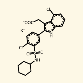 O=C([O-])Cc1c(-c2ccc(Cl)c(S(=O)(=O)NC3CCCCC3)c2)[nH]c2cccc(Cl)c12.[K+]